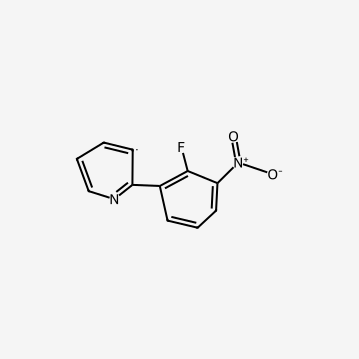 O=[N+]([O-])c1cccc(-c2[c]cccn2)c1F